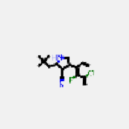 C=C/C(=C(/F)C(=C)Cl)C1CNC(CC(C)(C)C)C1C#N